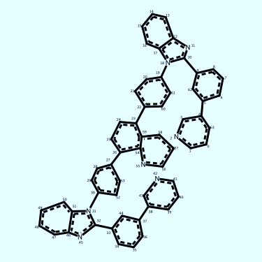 c1cncc(-c2cccc(-c3nc4ccccc4n3-c3ccc(-c4ccc(-c5ccc(-n6c(-c7cccc(-c8cccnc8)c7)nc7ccccc76)cc5)c5ncccc45)cc3)c2)c1